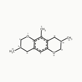 Cc1c2c(cc3c1OCN(C)C3)OCN(C)C2